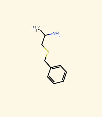 CC(N)CSCc1ccccc1